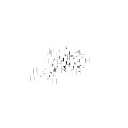 C[Si](C)(C)N[Si](C)(C)C.C[Si](C)(C)N[Si](C)(C)C.C[Si](C)(C)N[Si](C)(C)C.[Er]